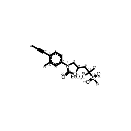 CC#Cc1ccc(N2CC(CC(C)(C(=O)OCC)S(C)(=O)=O)OC2=O)cc1C